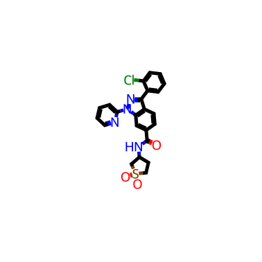 O=C(NC1CCS(=O)(=O)C1)c1ccc2c(-c3ccccc3Cl)nn(-c3ccccn3)c2c1